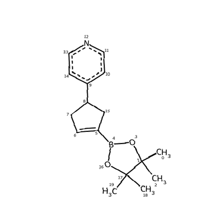 CC1(C)OB(C2=CCC(c3ccncc3)C2)OC1(C)C